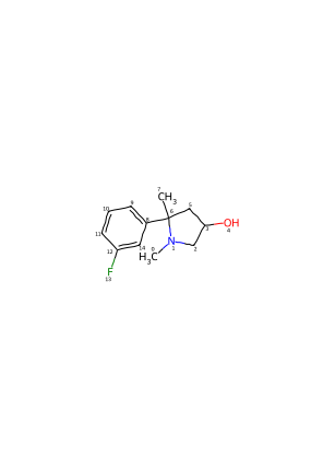 CN1CC(O)CC1(C)c1cccc(F)c1